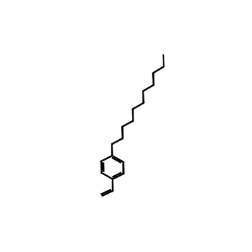 C=Cc1ccc(CCCCCCCCCCC)cc1